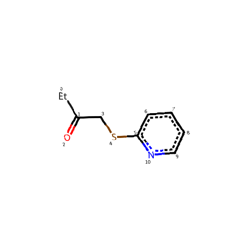 CCC(=O)CSc1ccccn1